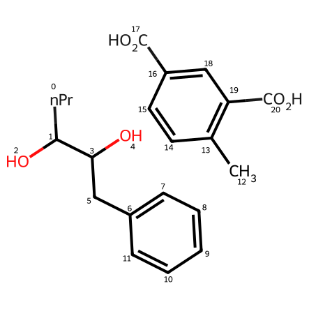 CCCC(O)C(O)Cc1ccccc1.Cc1ccc(C(=O)O)cc1C(=O)O